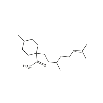 CC(C)=CCCC(C)CCC1(C(=O)C(=O)O)CCC(C)CC1